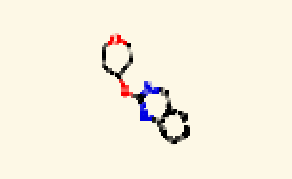 c1ccc2nc(OC3CCOCC3)ncc2c1